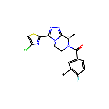 [2H]c1cc(C(=O)N2CCn3c(-c4nc(Cl)cs4)nnc3[C@H]2C)ccc1F